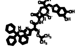 CC(C)ON=C(C(=O)NC1C(=O)N2CC(CN3Cc4cc(O)c(O)cc4C3)(C(=O)O)C[S+]([O-])[C@H]12)c1csc(NC(c2ccccc2)(c2ccccc2)c2ccccc2)n1